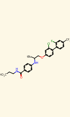 CC(C)(C)C(COc1ccc(-c2ccc(C(F)(F)F)cc2F)c(Cl)c1)Nc1ccc(C(=O)NCCC(=O)O)cc1